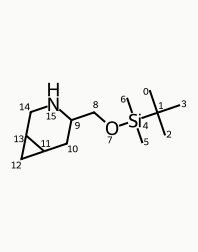 CC(C)(C)[Si](C)(C)OCC1CC2CC2CN1